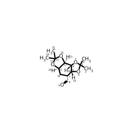 CC1(C)O[C@@H]2[C@H](O1)[C@H](C=O)C[C@H]1OC(C)(C)O[C@@H]21